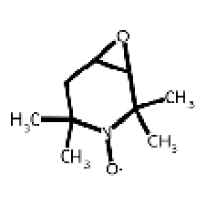 CC1(C)CC2OC2C(C)(C)N1[O]